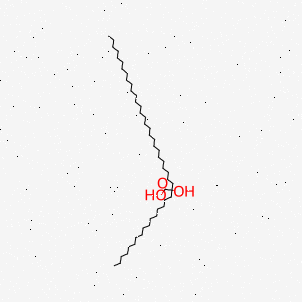 CCCCCCCCCCCCCCCCCCCCCCCCCCCCC(O)(CCCCCCCCCCCCCCCC)C(=O)O